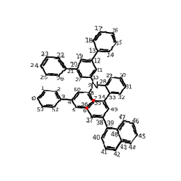 c1ccc(-c2cccc(N(c3cc(-c4ccccc4)cc(-c4ccccc4)c3)c3ccccc3-c3cccc(-c4cccc5ccccc45)c3)c2)cc1